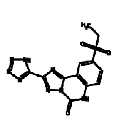 CCS(=O)(=O)c1ccc2[nH]c(=O)n3nc(-c4nnn[nH]4)nc3c2c1